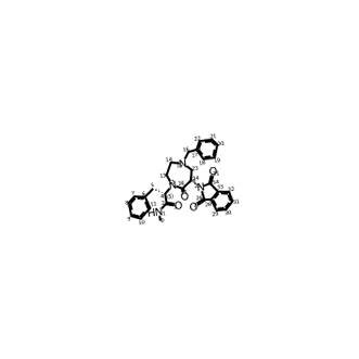 CNC(=O)[C@H](Cc1ccccc1)N1CCN(Cc2ccccc2)C[C@H](N2C(=O)c3ccccc3C2=O)C1=O